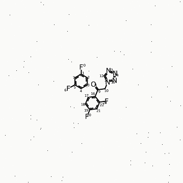 Fc1cccc(F)c1.O=C(Cn1cnnn1)c1ccc(F)cc1F